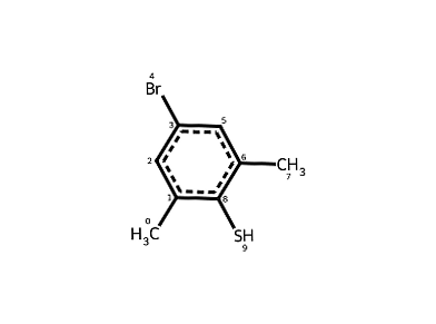 Cc1cc(Br)cc(C)c1S